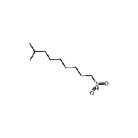 CC(C)CCCCCCC[SH](=O)=O